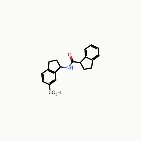 O=C(O)c1ccc2c(c1)C(NC(=O)C1CCc3ccccc31)CC2